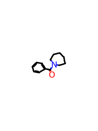 O=C(c1ccccc1)N1CCCCCC1